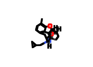 Cc1ccc2c3c1O[C@@H]1[C@@H]4CC[C@]5(O4)[C@H](C2)N(CC2CC2)CC[C@@]315